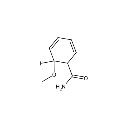 COC1(I)C=CC=CC1C(N)=O